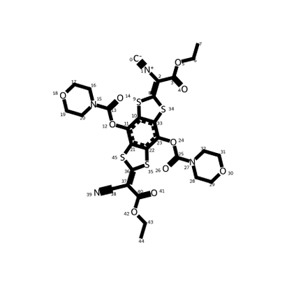 [C-]#[N+]C(C(=O)OCC)=C1Sc2c(OC(=O)N3CCOCC3)c3c(c(OC(=O)N4CCOCC4)c2S1)SC(=C(C#N)C(=O)OCC)S3